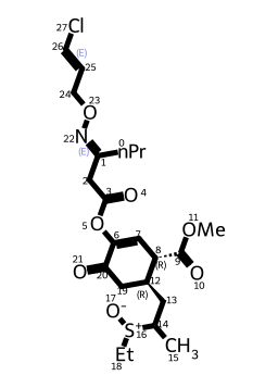 CCC/C(CC(=O)OC1=C[C@H](C(=O)OC)[C@@H](CC(C)[S+]([O-])CC)CC1=O)=N\OC/C=C/Cl